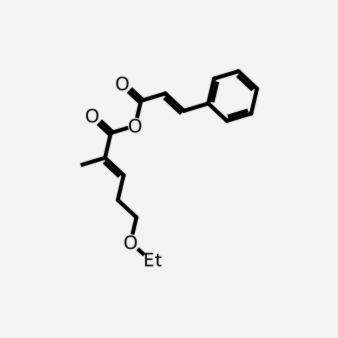 CCOCCC=C(C)C(=O)OC(=O)/C=C/c1ccccc1